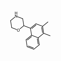 Cc1cc(C2CNCCO2)c2ccccc2c1C